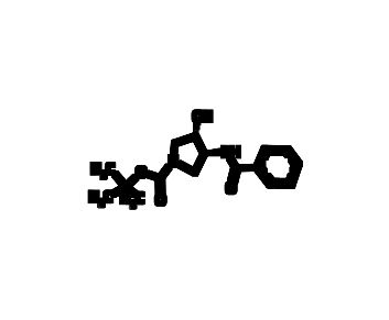 CC(C)(C)OC(=O)N1C[C@H](NC(=O)c2ccccc2)[C@@H](O)C1